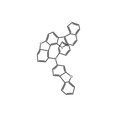 c1ccc(N(c2ccc3c(c2)oc2ccccc23)c2cccc3sc4ccc5c(sc6ccc7ccccc7c65)c4c23)cc1